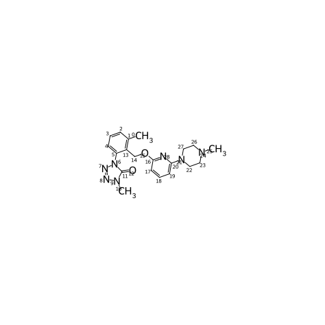 Cc1cccc(-n2nnn(C)c2=O)c1COc1cccc(N2CCN(C)CC2)n1